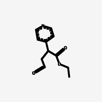 CCOC(=O)C(CC=O)c1ccncc1